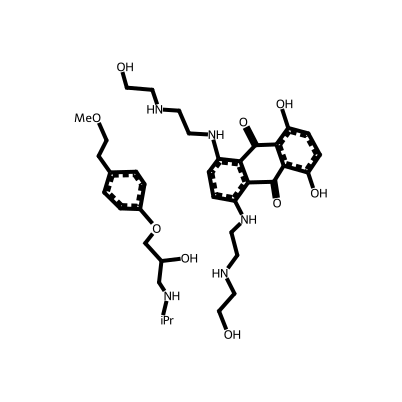 COCCc1ccc(OCC(O)CNC(C)C)cc1.O=C1c2c(O)ccc(O)c2C(=O)c2c(NCCNCCO)ccc(NCCNCCO)c21